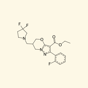 CCOC(=O)c1c(-c2ccccc2F)nn2c1OCC(CN1CCC(F)(F)C1)C2